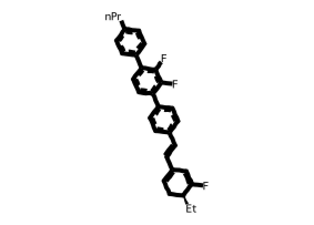 CCCc1ccc(-c2ccc(-c3ccc(/C=C/C4=CC[C@H](CC)C(F)=C4)cc3)c(F)c2F)cc1